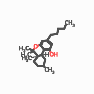 CCCCCc1cc(O)c2c(c1)OC(C)(C)[C@]1(C)CCC(C)C[C@H]21